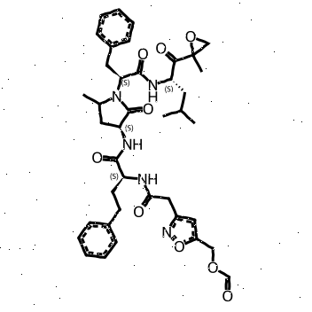 CC(C)C[C@H](NC(=O)[C@H](Cc1ccccc1)N1C(=O)[C@@H](NC(=O)[C@H](CCc2ccccc2)NC(=O)Cc2cc(COC=O)on2)CC1C)C(=O)C1(C)CO1